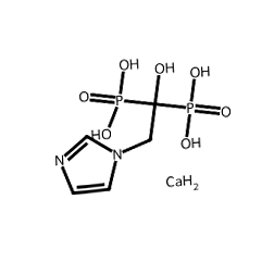 O=P(O)(O)C(O)(Cn1ccnc1)P(=O)(O)O.[CaH2]